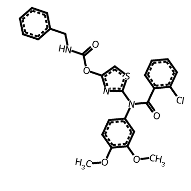 COc1ccc(N(C(=O)c2ccccc2Cl)c2nc(OC(=O)NCc3ccccc3)cs2)cc1OC